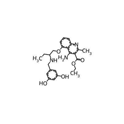 CCOC(=O)c1c(C)nc2cccc(OCC(CC)NCc3cc(O)cc(O)c3)c2c1N